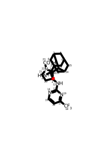 NC(=O)C12CC3CC(C1)C(C1C(Nc4nccc(C(F)(F)F)n4)CCN1C(=O)O)C(C3)C2